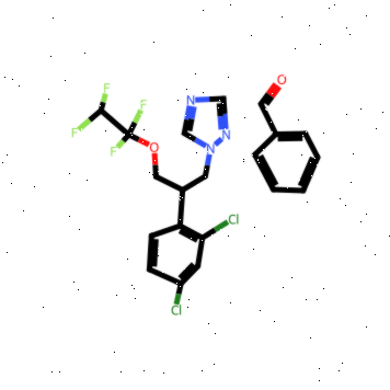 FC(F)C(F)(F)OCC(Cn1cncn1)c1ccc(Cl)cc1Cl.O=Cc1ccccc1